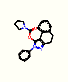 O=C(Oc1c2c(nn1-c1ccccc1)CCc1ccccc1-2)N1CCCC1